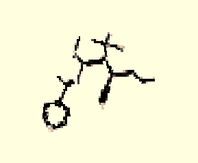 CC/C=C(C#N)/C(=C(\N=C(/C)c1ccncc1)OC)C(F)(F)F